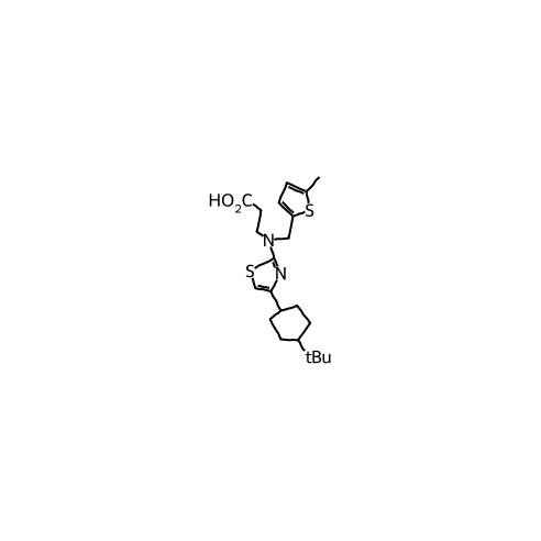 Cc1ccc(CN(CCC(=O)O)c2nc(C3CCC(C(C)(C)C)CC3)cs2)s1